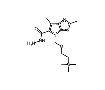 Cc1nc2c(C)c(C(=O)NN)n(COCC[Si](C)(C)C)c2s1